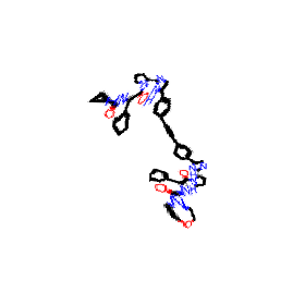 O=C(N[C@@H](C(=O)N1CCC[C@H]1c1ncc(-c2ccc(C#Cc3ccc(-c4cnc([C@@H]5CCCN5C(=O)[C@H](NC(=O)N5CCOCC5)c5ccccc5)[nH]4)cc3)cc2)[nH]1)c1ccccc1)C1CC1